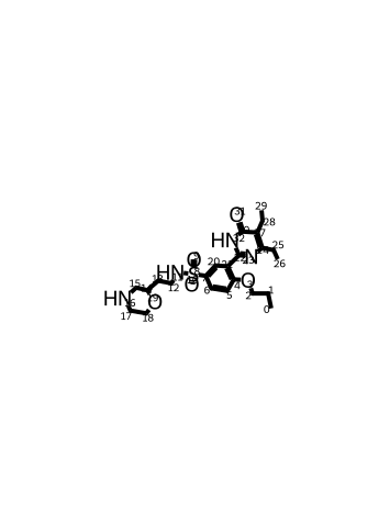 CCCOc1ccc(S(=O)(=O)NCCC2CNCCO2)cc1-c1nc(CC)c(CC)c(=O)[nH]1